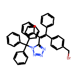 BrCc1ccc(C(=C(c2ccccc2)c2nnnn2C(c2ccccc2)(c2ccccc2)c2ccccc2)c2ccccc2)cc1